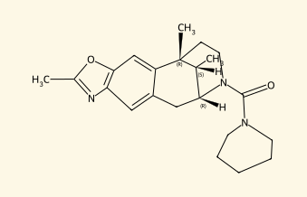 Cc1nc2cc3c(cc2o1)[C@]1(C)CCN(C(=O)N2CCCCC2)[C@H](C3)[C@H]1C